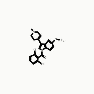 CN1CC=C(c2cn(C(=O)c3c(Cl)cccc3Cl)c3ccc(OC(F)(F)F)cc23)CC1